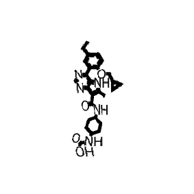 CCc1ccc(OCC2CC2)c(-c2ncnc3c(C(=O)NC4CCC(NC(=O)O)CC4)c(C)[nH]c23)c1